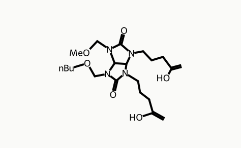 C=C(O)CCCN1C(=O)N(COC)C2C1N(CCCC(=C)O)C(=O)N2COCCCC